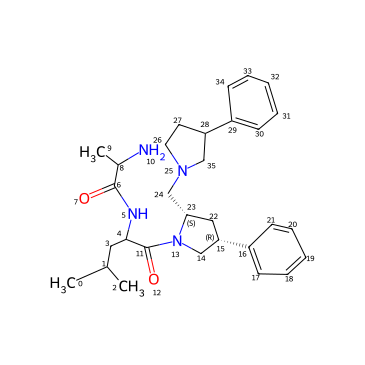 CC(C)CC(NC(=O)C(C)N)C(=O)N1C[C@@H](c2ccccc2)C[C@H]1CN1CCC(c2ccccc2)C1